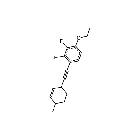 CCOc1ccc(C#CC2C=CC(C)CC2)c(F)c1F